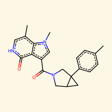 Cc1ccc(C23CC2CN(C(=O)c2cn(C)c4c(C)c[nH]c(=O)c24)C3)cc1